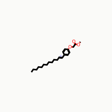 CCCCCCCCCCC/C=C/c1ccc(OCC(=O)OC)cc1